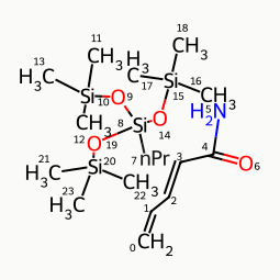 C=CC=CC(N)=O.CCC[Si](O[Si](C)(C)C)(O[Si](C)(C)C)O[Si](C)(C)C